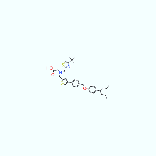 CCCC(CCC)c1ccc(OCc2ccc(-c3csc(CN(CC(=O)O)Cc4nc(C(C)(C)C)cs4)c3)cc2)cc1